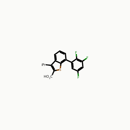 CC(C)c1c(C(=O)O)sc2c(-c3cc(F)cc(F)c3F)cccc12